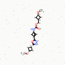 O=C(NC12CC(c3nnc([C@H]4C[C@@H](OC(F)(F)F)C4)o3)(C1)C2)OCC1CC(OC(F)(F)F)C1